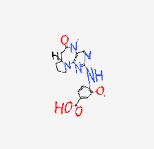 COc1cc(C(=O)O)ccc1Nc1ncc2c(n1)N1CCC[C@@H]1CC(=O)N2C